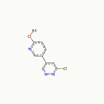 CCOc1ccc(-c2cnnc(Cl)c2)cn1